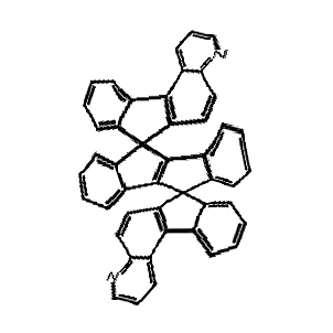 c1ccc2c(c1)C1=C(c3ccccc3C13c1ccccc1-c1c3ccc3ncccc13)C21c2ccccc2-c2c1ccc1ncccc21